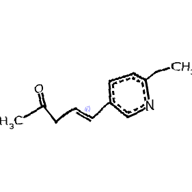 CC(=O)C/C=C/c1ccc(C)nc1